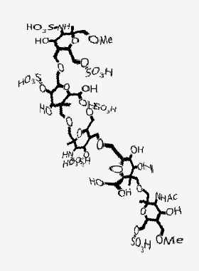 COCC1C(COS(=O)(=O)O)OC(C)(COCC2(C)C(O)C(O)C(COCC3C(COS(=O)(=O)O)OC(C)(COCC4(C)C(O)C(OS(=O)(=O)O)C(COCC5C(COS(=O)(=O)O)OC(C)(COC)C(NS(=O)(=O)O)C5O)OC4C(O)O)C(NS(=O)(=O)O)C3OS(=O)(=O)O)OC2C(O)O)C(NC(C)=O)C1O